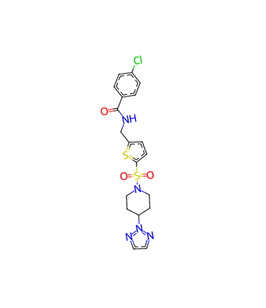 O=C(NCc1ccc(S(=O)(=O)N2CCC(n3nccn3)CC2)s1)c1ccc(Cl)cc1